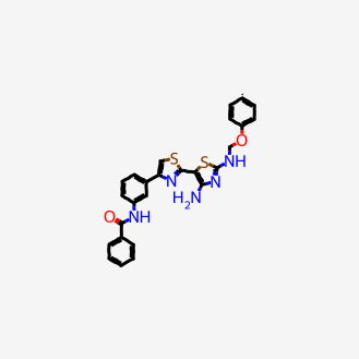 Nc1nc(NCOc2cc[c]cc2)sc1-c1nc(-c2cccc(NC(=O)c3ccccc3)c2)cs1